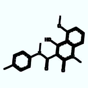 COc1cccc2c1c(O)c(C(=O)N(C)c1ccc(C)cc1)c(=O)n2C